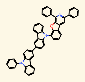 c1ccc(-c2cc3c(oc4c(-n5c6ccccc6c6cc(-c7ccc8c(c7)c7ccccc7n8-c7ccccc7)ccc65)cccc43)c(-c3ccccc3)n2)cc1